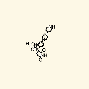 Cn1c(=O)n(C2CCC(=O)NC2=O)c2ccc(N3CCN(C4CCNCC4)CC3)cc21